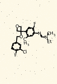 CCN(C)/C=N/c1cc(C)c(C2(OCc3ccc(F)c(Cl)c3)COC2)cc1F